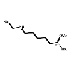 CCCC[C@H](CCCCCNCC(C)(C)C)OC